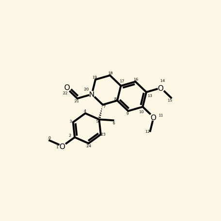 COC1=CCC(C)([C@H]2c3cc(OC)c(OC)cc3CCN2C=O)C=C1